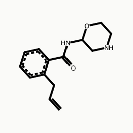 C=CCc1ccccc1C(=O)NC1CNCCO1